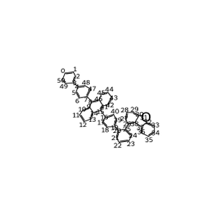 c1ccc(-c2ccc(-c3c4ccccc4c(-c4ccc(-c5ccccc5-c5cccc6oc7ccccc7c56)cc4)c4ccccc34)cc2)cc1